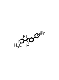 CCc1c(-c2ccnc(C)c2)[nH]c2ccc(C3CCN(C(C)C)CC3)cc12